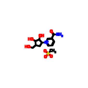 CS(=O)(=O)[O-].NC(=O)c1ccc[n+](C2CC(CO)C(O)C2O)c1